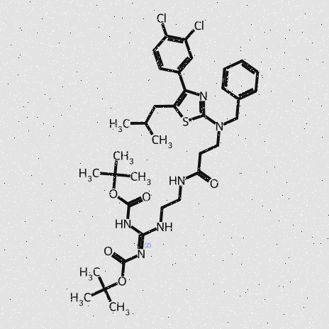 CC(C)Cc1sc(N(CCC(=O)NCCN/C(=N/C(=O)OC(C)(C)C)NC(=O)OC(C)(C)C)Cc2ccccc2)nc1-c1ccc(Cl)c(Cl)c1